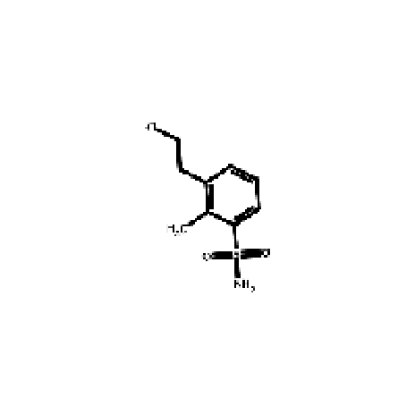 Cc1c(CC[O])cccc1S(N)(=O)=O